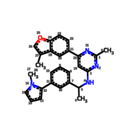 Cc1nc(NC(C)c2cccc(-c3cccn3C)c2)cc(-c2ccc3occ(C)c3c2)n1